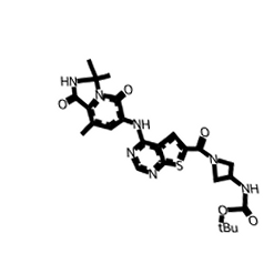 Cc1cc(Nc2ncnc3sc(C(=O)N4CC(NC(=O)OC(C)(C)C)C4)cc23)c(=O)n2c1C(=O)NC2(C)C